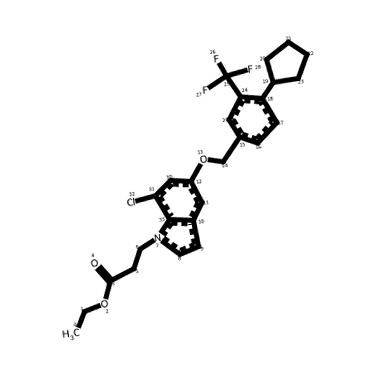 CCOC(=O)CCn1ccc2cc(OCc3ccc(C4CCCC4)c(C(F)(F)F)c3)cc(Cl)c21